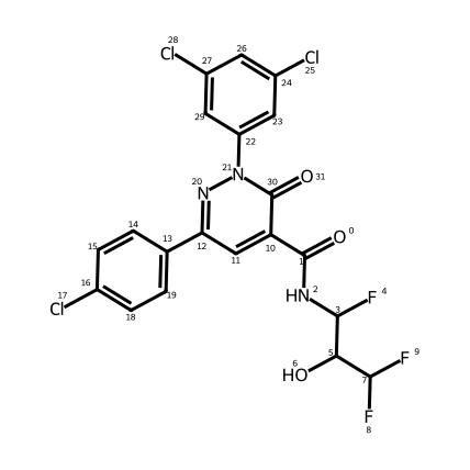 O=C(NC(F)C(O)C(F)F)c1cc(-c2ccc(Cl)cc2)nn(-c2cc(Cl)cc(Cl)c2)c1=O